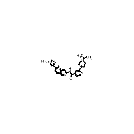 CC(C)N1CCN(c2cc(C(=O)Nc3cc4nc(-c5cn(C)nn5)ccc4cn3)ccn2)CC1